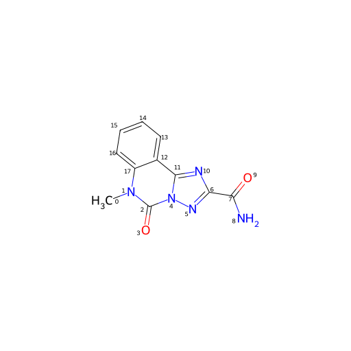 Cn1c(=O)n2nc(C(N)=O)nc2c2ccccc21